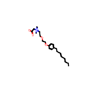 CCCCCCCCc1ccc(OCCOCC[N+](C)(C)CC(=O)[O-])cc1